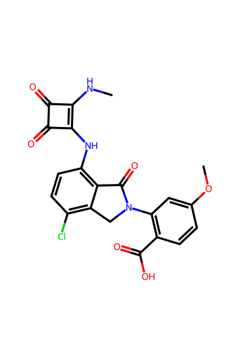 CNc1c(Nc2ccc(Cl)c3c2C(=O)N(c2cc(OC)ccc2C(=O)O)C3)c(=O)c1=O